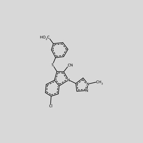 Cn1cc(-n2c(C#N)c(Sc3cccc(C(=O)O)c3)c3ccc(Cl)cc32)cn1